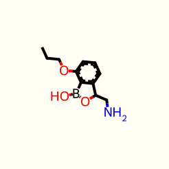 CCCOc1cccc2c1B(O)OC2CN